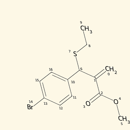 C=C(C(=O)OC)C(SCC)c1ccc(Br)cc1